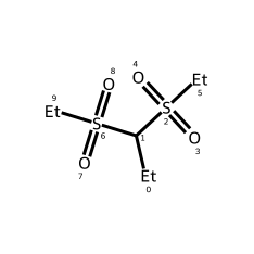 CCC(S(=O)(=O)CC)S(=O)(=O)CC